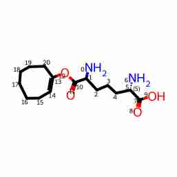 NC(CCC[C@H](N)C(=O)O)C(=O)OC1=CCCCCCC1